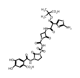 CC(C)(ON=C(C(=O)NC1CN(C(=O)NS(=O)(=O)N2CCN(NC(=O)c3cc(O)c(O)cc3C(=O)O)C2=O)C1=O)c1csc(N)n1)C(=O)O